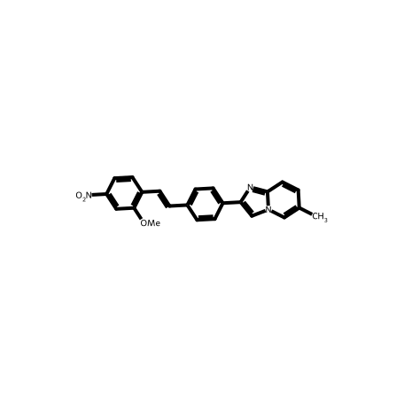 COc1cc([N+](=O)[O-])ccc1/C=C/c1ccc(-c2cn3cc(C)ccc3n2)cc1